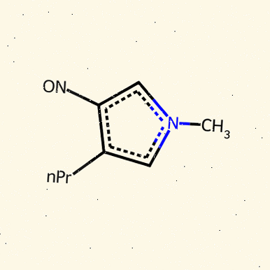 CCCc1cn(C)cc1N=O